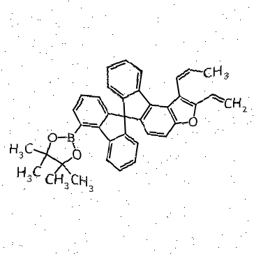 C=Cc1oc2ccc3c(c2c1/C=C\C)-c1ccccc1C31c2ccccc2-c2c(B3OC(C)(C)C(C)(C)O3)cccc21